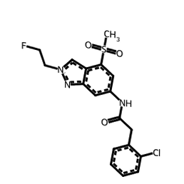 CS(=O)(=O)c1cc(NC(=O)Cc2ccccc2Cl)cc2nn(CCF)cc12